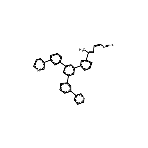 C=N/C=C\C=C(/C)c1cccc(-c2cc(-c3cccc(-c4cccnc4)c3)cc(-c3cccc(-c4cccnc4)c3)c2)c1